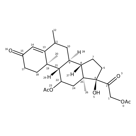 CC(=O)OCC(=O)[C@@]1(O)CC[C@H]2[C@@H]3CC(C)C4=CC(=O)CC[C@]4(C)[C@H]3C(OC(C)=O)C[C@@]21C